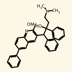 COc1nc2ccc(-c3ccccc3)cc2cc1C(c1ccccc1)C(O)(CCN(C)C)c1ccccc1